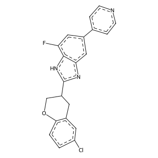 Fc1cc(-c2ccncc2)cc2nc(C3COc4ccc(Cl)cc4C3)[nH]c12